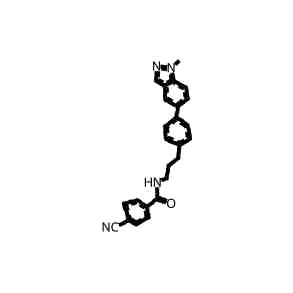 Cn1ncc2cc(-c3ccc(CCCNC(=O)c4ccc(C#N)cc4)cc3)ccc21